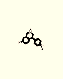 COc1ccc(C2CN(C)Cc3cc(F)ccc32)cc1